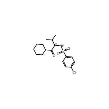 CC(C)[C@@H](NS(=O)(=O)c1ccc(Cl)cc1)C(=O)[C]1CCCCC1